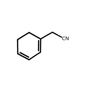 N#CCC1=CC=CCC1